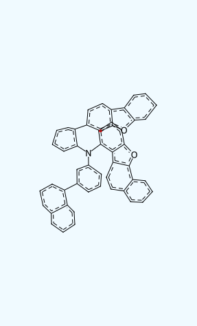 c1cc(-c2cccc3ccccc23)cc(N(c2ccccc2-c2ccc3c(c2)oc2ccccc23)c2cccc3oc4c5ccccc5ccc4c23)c1